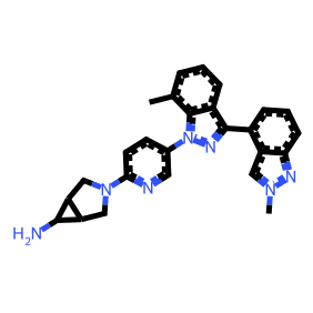 Cc1cccc2c(-c3cccc4nn(C)cc34)nn(-c3ccc(N4CC5C(N)C5C4)nc3)c12